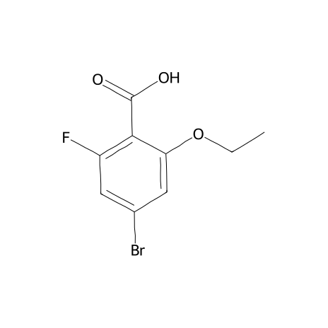 CCOc1cc(Br)cc(F)c1C(=O)O